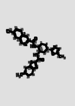 Cc1nnc([C@H]2CC[C@H](NC(=O)c3cc4ccc(Cl)cc4cn3)[C@H](NC(=O)c3nc4c(s3)CN(C)CC4)C2)o1